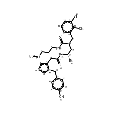 CCOCCCNC(=S)N(Cc1cccc(Cl)c1Cl)C[C@H](CC)NC(=O)Cc1cncn1Cc1ccc(C#N)cc1